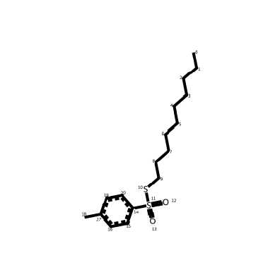 CCCCCCCCCCSS(=O)(=O)c1ccc(C)cc1